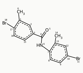 Cc1cc(C(=O)Nc2ccc(Br)cc2C)ccc1Br